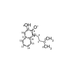 CC(C)CCn1c(=O)c(O)cc2ccccc21